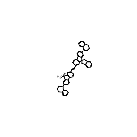 CC1(C)c2cc(/C=C/c3ccc4c(c3)C3(Cc5ccccc5C3)c3cc(N5CCCc6ccccc65)ccc3-4)ccc2-c2ccc(N3CCCc4ccccc43)cc21